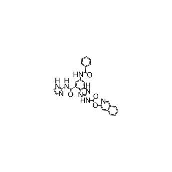 O=C(Nc1nc2c(C(=O)Nc3ncc[nH]3)cc(NC(=O)c3ccccc3)cc2[nH]1)Oc1cc2ccccc2cn1